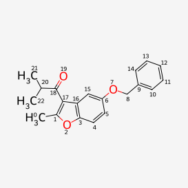 Cc1oc2ccc(OCc3ccccc3)cc2c1C(=O)C(C)C